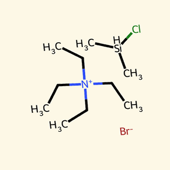 CC[N+](CC)(CC)CC.C[SiH](C)Cl.[Br-]